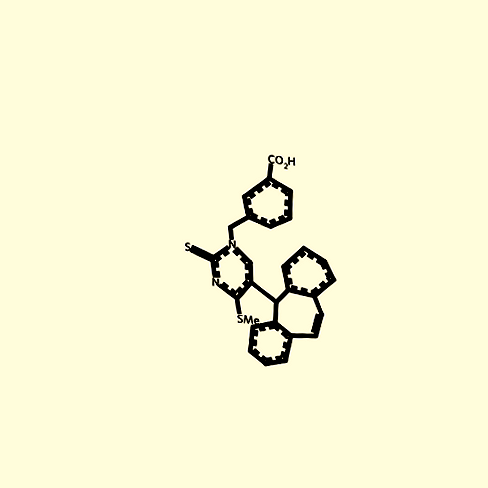 CSc1nc(=S)n(Cc2cccc(C(=O)O)c2)cc1C1c2ccccc2C=Cc2ccccc21